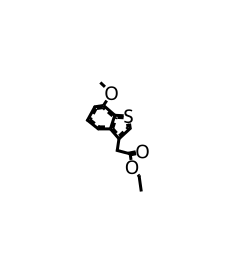 CCOC(=O)Cc1csc2c(OC)cccc12